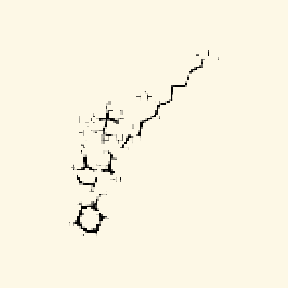 CCCCCC[C@@H](N)CCCCC[C@@H](O[Si](C)(C)C(C)(C)C)C(=O)N1C(=O)OC[C@H]1Cc1ccccc1